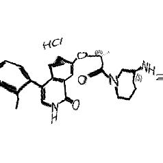 Cc1ccccc1-c1c[nH]c(=O)c2cc(O[C@H](C)C(=O)N3CCC[C@H](N)C3)ccc12.Cl